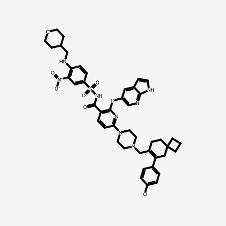 O=C(NS(=O)(=O)c1ccc(NCC2CCOCC2)c([N+](=O)[O-])c1)c1ccc(N2CCN(CC3=C(c4ccc(Cl)cc4)CC4(CCC4)CC3)CC2)nc1Oc1cnc2[nH]ccc2c1